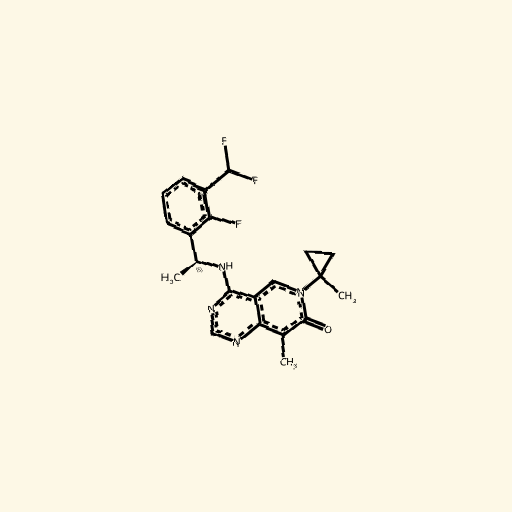 Cc1c(=O)n(C2(C)CC2)cc2c(N[C@@H](C)c3cccc(C(F)F)c3F)ncnc12